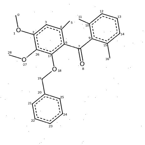 COc1cc(C)c(C(=O)c2c(C)cccc2C)c(OCc2ccccc2)c1OC